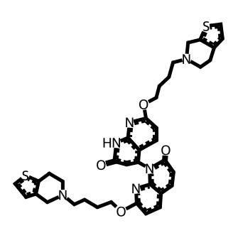 O=c1cc(-n2c(=O)ccc3ccc(OCCCCN4CCc5sccc5C4)nc32)c2ccc(OCCCCN3CCc4ccsc4C3)nc2[nH]1